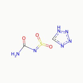 NC(=O)N=S(=O)=O.c1nnn[nH]1